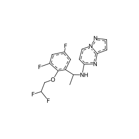 CC(Nc1ccn2nccc2n1)c1cc(F)cc(F)c1OCC(F)F